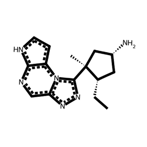 CC[C@H]1C[C@@H](N)C[C@]1(C)c1nnc2cnc3[nH]ccc3n12